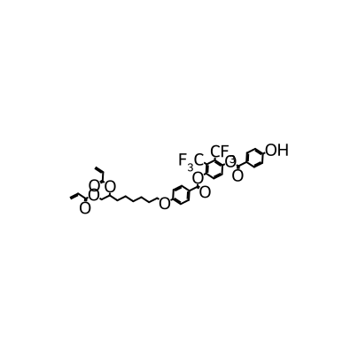 C=CC(=O)OCC(CCCCCCOc1ccc(C(=O)Oc2ccc(OC(=O)c3ccc(O)cc3)c(C(F)(F)F)c2C(F)(F)F)cc1)OC(=O)C=C